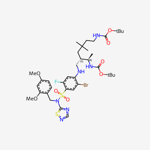 COc1ccc(CN(c2ncns2)S(=O)(=O)c2cc(Br)c(NC[C@H](CC(C)(C)CCNC(=O)OC(C)(C)C)[C@@H](C)NC(=O)OC(C)(C)C)cc2F)c(OC)c1